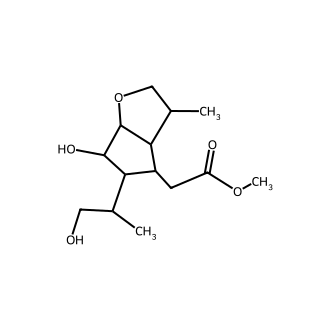 COC(=O)CC1C(C(C)CO)C(O)C2OCC(C)C12